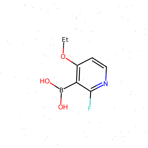 CCOc1ccnc(F)c1B(O)O